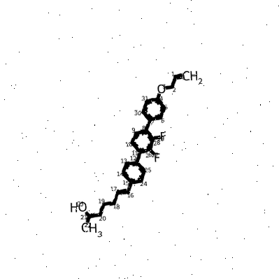 C=CCOc1ccc(-c2ccc(-c3ccc(C=CCCCC(C)O)cc3)c(F)c2F)cc1